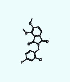 COc1ccc2c(c1OC)C(=O)N(Cc1ccc(F)cc1Cl)C2=O